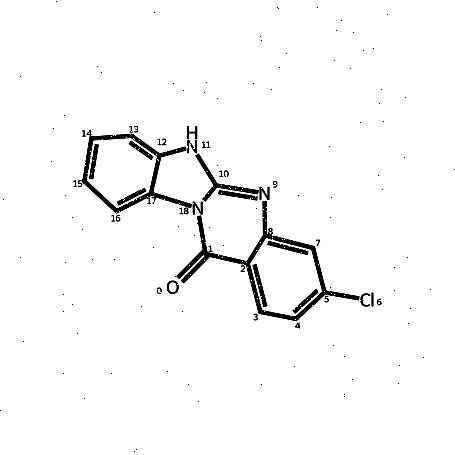 O=c1c2ccc(Cl)cc2nc2[nH]c3ccccc3n12